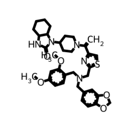 C=C(c1csc(CN(Cc2ccc3c(c2)OCO3)Cc2ccc(OC)cc2OC)n1)N1CCC(N2C(=O)NC3CCCCC32)CC1